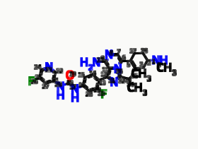 CNC1CC=C(c2cnc(N)c3c(-c4ccc(NC(=O)Nc5cncc(F)c5)cc4F)nc(C(C)C)n23)CC1